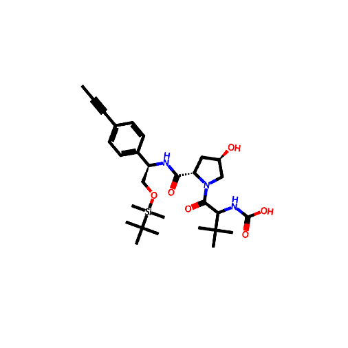 CC#Cc1ccc([C@H](CO[Si](C)(C)C(C)(C)C)NC(=O)[C@@H]2C[C@@H](O)CN2C(=O)C(NC(=O)O)C(C)(C)C)cc1